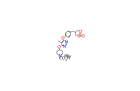 Cc1c(Oc2ccc(CC3COS(=O)OC3)cc2)ncnc1O[C@@H]1CCN(C(=O)O)[C@@H](C(C)(C)C)C1